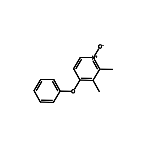 Cc1c(Oc2ccccc2)cc[n+]([O-])c1C